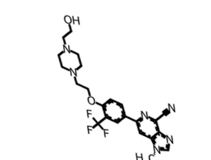 Cn1cnc2c(C#N)nc(-c3ccc(OCCN4CCN(CCO)CC4)c(C(F)(F)F)c3)cc21